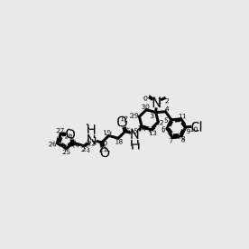 CN(C)C1(Cc2cccc(Cl)c2)CCC(NC(=O)CCC(=O)NCc2ccco2)CC1